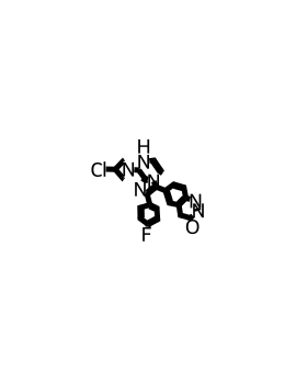 O=C1Cc2cc(-c3c(-c4ccc(F)cc4)nc4n3C=CNC4N3CC(Cl)C3)ccc2N=N1